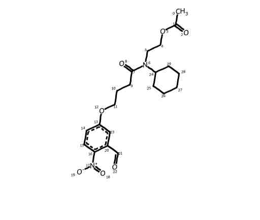 CC(=O)OCCN(C(=O)CCCOc1ccc([N+](=O)[O-])c(C=O)c1)C1CCCCC1